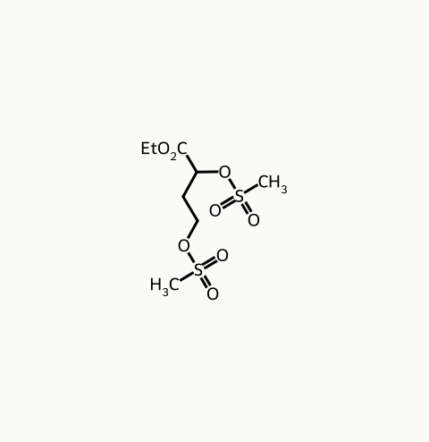 CCOC(=O)C(CCOS(C)(=O)=O)OS(C)(=O)=O